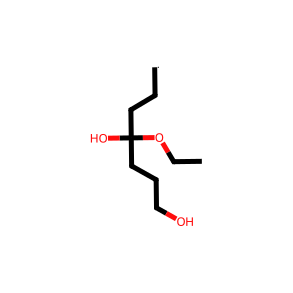 [CH2]CCC(O)(CCCO)OCC